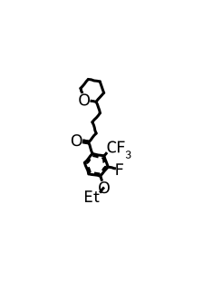 CCOc1ccc(C(=O)CCCC2CCCCO2)c(C(F)(F)F)c1F